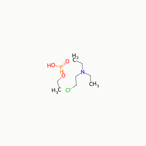 CCN(CC)CCCl.CCO[PH](=O)O